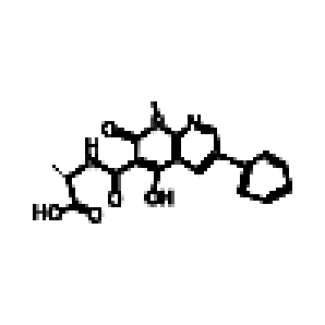 C[C@H](NC(=O)c1c(O)c2cc(-c3ccccc3)cnc2n(C)c1=O)C(=O)O